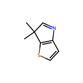 CC1(C)C=Nc2ccsc21